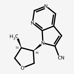 C[C@@H]1COC[C@@H]1n1c(C#N)cc2cncnc21